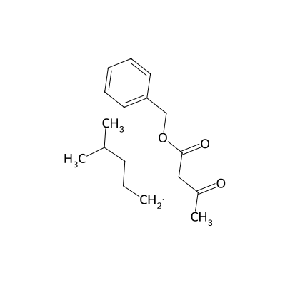 CC(=O)CC(=O)OCc1ccccc1.[CH2]CCC(C)C